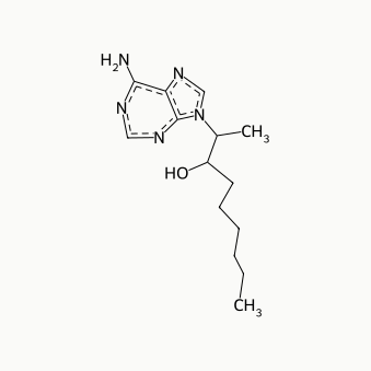 CCCCCCC(O)C(C)n1cnc2c(N)ncnc21